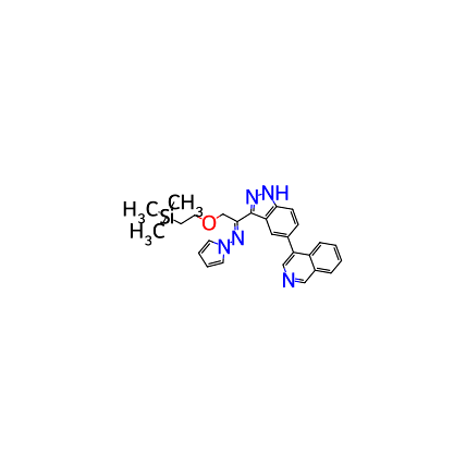 C[Si](C)(C)CCOCC(=Nn1cccc1)c1n[nH]c2ccc(-c3cncc4ccccc34)cc12